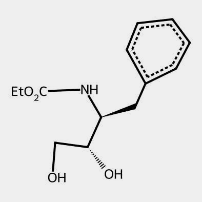 CCOC(=O)N[C@@H](Cc1ccccc1)[C@H](O)CO